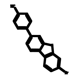 N#Cc1ccc(-c2ccc3c(c2)sc2cc(Br)ccc23)cc1